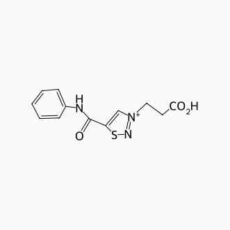 O=C(O)CC[n+]1cc(C(=O)Nc2ccccc2)sn1